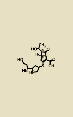 CC(O)[C@H]1C(=O)N2C(C(=O)O)=C(SC3CNC(C(=N)CCO)C3)C[C@H]12